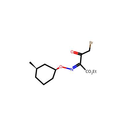 CCOC(=O)C(=NO[C@H]1CCC[C@@H](C)C1)C(=O)CBr